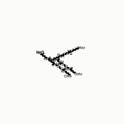 COCCCCCNC(=O)COCCOCCNC(=O)CCC(CC(=O)NCCCCC(CO)COC)NC(=O)CC(CCC(=O)NCCOCCOCC(=O)NCCCCCOC)NC(=O)CNC(=O)COCCOCCNC(=O)CCCCOC